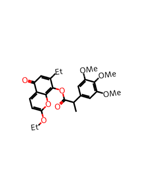 CCOc1ccc2c(=O)cc(CC)c(OC(=O)C(C)c3cc(OC)c(OC)c(OC)c3)c-2o1